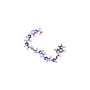 CC(=O)Nc1cn(C)c(C(=O)Nc2cc(C(=O)Nc3cc(C(=O)NCCCC(=O)Nc4cn(C)c(C(=O)Nc5cc(C(=O)Nc6cc(/C=C/C(=O)N7C[C@H]8C[C@@]89C7=CC(=O)c7[nH]c(C)c(C)c79)n(C)c6)n(C)c5)n4)n(C)c3)n(C)c2)n1